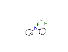 FC(F)(F)c1ccccc1[N]C1CC2CCC1C2